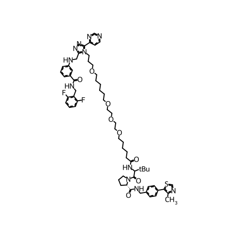 Cc1ncsc1-c1ccc(CNC(=O)[C@@H]2CCCN2C(=O)C(NC(=O)CCCCCOCCOCCOCCCCCCOCCCn2c(CNc3cccc(C(=O)NCc4c(F)cccc4F)c3)nnc2-c2ccncn2)C(C)(C)C)cc1